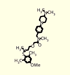 COc1cc(C)c(SN(C)CCOCC(=O)N(C)Cc2ccc(N3CCC(N(C)C)CC3)cc2)c(C)c1